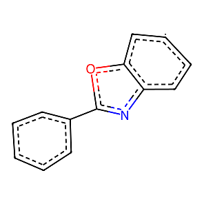 [c]1ccc2nc(-c3ccccc3)oc2c1